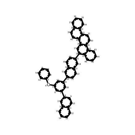 c1ccc(Oc2cc(-c3ccc4ccccc4c3)cc(-c3ccc4cc(-c5cc6c(ccc7c8ccccc8ccc76)c6ccccc56)ccc4c3)c2)cc1